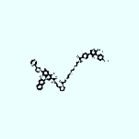 CCc1c(-c2ccc(C(=O)NCCOCCOCCOCC(=O)N3CCCC3CCNC(=O)c3cn4c5c(c(N6CCC(c7cnccn7)C6)c(F)cc5c3=O)Oc3cc5ccccc5cc3-4)nc2)cnc(N)c1-c1ccc(O)cc1